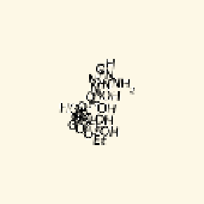 CCC1O[C@H](OP(=O)(O)OP(=O)(O)OC[C@H]2O[C@@H](n3cnc4c(=O)[nH]c(N)nc43)C(O)C2O)C(O)C(O)[C@@H]1O